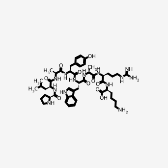 CC(C)C[C@H](NC(=O)[C@@H]1CCCN1)C(=O)N[C@@H](C)C(=O)N[C@@H](Cc1ccc(O)cc1)C(=O)N[C@@H](Cc1c[nH]c2ccccc12)C(=O)N[C@@H](C)C(=O)N[C@@H](CCCNC(=N)N)C(=O)N[C@@H](CCCCN)C(=O)O